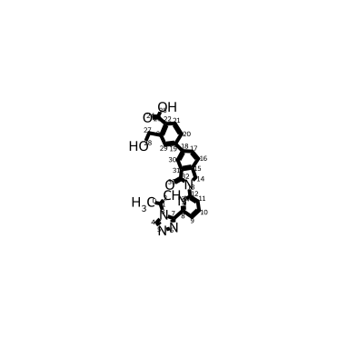 CC(C)n1cnnc1-c1cccc(N2Cc3ccc(-c4ccc(C(=O)O)c(CO)c4)cc3C2=O)n1